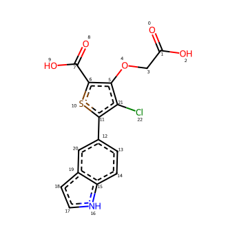 O=C(O)COc1c(C(=O)O)sc(-c2ccc3[nH]ccc3c2)c1Cl